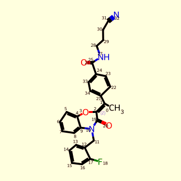 C/C(=C1/Oc2ccccc2N(Cc2ccccc2F)C1=O)c1ccc(C(=O)NCCCC#N)cc1